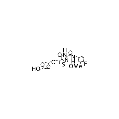 COc1cc(CNC(=O)c2nc3scc(COC[C@H]4CO[C@H](CO)CO4)c3c(=O)[nH]2)ccc1F